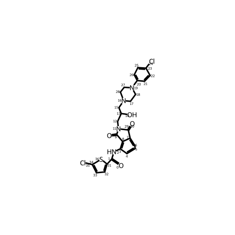 O=C(Nc1cccc2c1C(=O)N(CC(O)CN1CCN(c3ccc(Cl)cc3)CC1)C2=O)c1ccc(Cl)s1